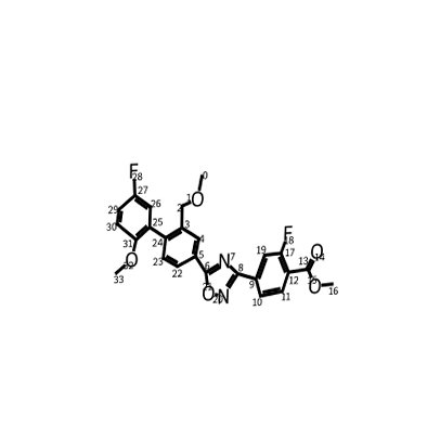 COCc1cc(-c2nc(-c3ccc(C(=O)OC)c(F)c3)no2)ccc1-c1cc(F)ccc1OC